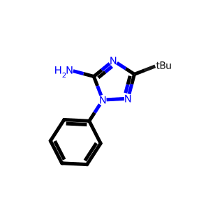 CC(C)(C)c1nc(N)n(-c2ccccc2)n1